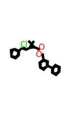 CC1(C)C(C=C(Cl)c2ccccc2)C1C(=O)OCc1cccc(-c2ccccc2)c1